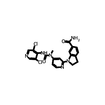 CN(C(=O)Nc1c(Cl)cncc1Cl)c1ccnc(N2CCc3ccc(C(N)=O)cc32)c1